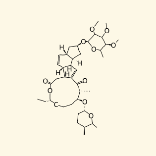 CC[C@H]1CCC[C@H](O[C@H]2CC[C@H](C)C(C)O2)[C@@H](C)C(=O)C2=C[C@@H]3[C@@H](C=C[C@@H]4C[C@@H](O[C@@H]5OC(C)[C@H](OC)C(OC)C5OC)C[C@@H]34)[C@@H]2CC(=O)O1